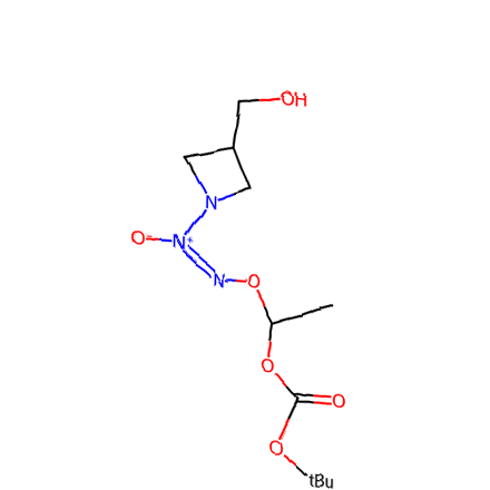 CC(O/N=[N+](/[O-])N1CC(CO)C1)OC(=O)OC(C)(C)C